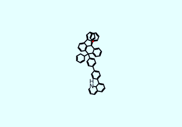 C1=CCC(C2(c3ccc(-c4ccc(C5=CC=CC6=CC=CNC65)cc4)cc3)c3ccccc3C3(c4ccccc4)c4ccccc4-c4cccc2c43)C=C1